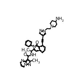 Cc1nn2cccnc2c1C(=O)N[C@@H](C)c1cc2cccc(C#Cc3cnn(CCN4CCC(N)CC4)c3)c2c(=O)n1-c1ccccc1